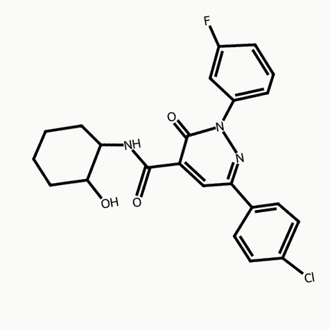 O=C(NC1CCCCC1O)c1cc(-c2ccc(Cl)cc2)nn(-c2cccc(F)c2)c1=O